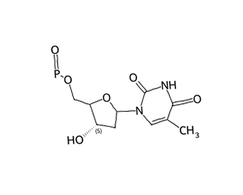 Cc1cn(C2C[C@H](O)C(COP=O)O2)c(=O)[nH]c1=O